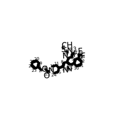 CSc1nccc(-c2cc(C3CCN(C(=O)OCc4ccccc4)CC3)nnc2-c2cccc(C(F)(F)F)c2)n1